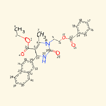 CCOC(=O)C1=C(C)N(CCOC(=O)c2ccccc2)C(=O)NC1c1ccc2ccccc2c1